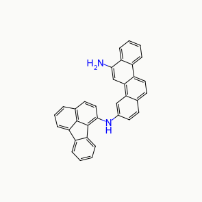 Nc1cc2c3cc(Nc4ccc5cccc6c5c4-c4ccccc4-6)ccc3ccc2c2ccccc12